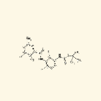 CC(C)(C)OC(=O)Nc1ccc(F)c(NC(=O)c2cc(N)cc(F)c2Cl)c1F